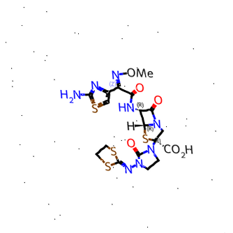 CO/N=C(\C(=O)N[C@@H]1C(=O)N2C[C@@](C(=O)O)(N3CCN(N=C4SCCS4)C3=O)S[C@H]12)c1csc(N)n1